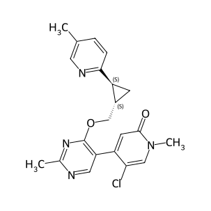 Cc1ccc([C@H]2C[C@@H]2COc2nc(C)ncc2-c2cc(=O)n(C)cc2Cl)nc1